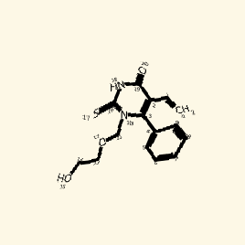 C=Cc1c(-c2ccccc2)n(COCCO)c(=S)[nH]c1=O